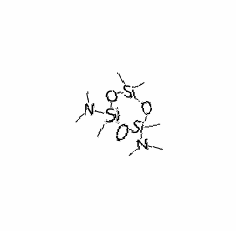 CN(C)[Si]1(C)O[Si](C)(C)O[Si](C)(N(C)C)O1